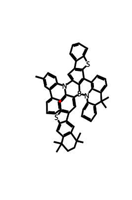 Cc1ccc(N2c3cc4sc5cc6c(cc5c4cc3B3c4c2cc2c(sc5ccccc52)c4-c2cccc4c2N3c2ccccc2C4(C)C)C(C)(C)CCC6(C)C)c(-c2ccccc2)c1